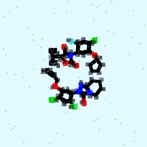 C#CCOc1cc(-n2nc3n(c2=O)CCCC3)c(Cl)cc1Cl.CC(C)=C1OC(=O)N(c2cc(OC3CCCC3)c(Cl)cc2F)C1=O